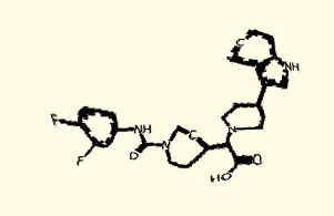 O=C(O)C(C1CCN(C(=O)Nc2ccc(F)c(F)c2)CC1)N1CCC(c2c[nH]c3ccccc23)CC1